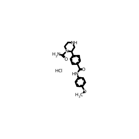 COc1ccc(NC(=O)c2ccc(C3CNCCN3C(N)=O)cc2)cc1.Cl